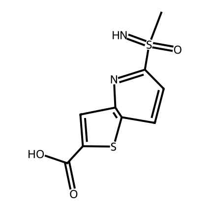 CS(=N)(=O)c1ccc2sc(C(=O)O)cc2n1